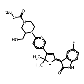 CC(C)(C)OC(=O)N1CCN(c2ccc(C3=CC(=C4C(=O)Nc5ccc(F)cc54)OC3(C)C)cn2)C(CO)C1